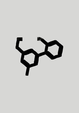 Cc1cc(CO)cc(-c2ccccc2C(C)C)c1